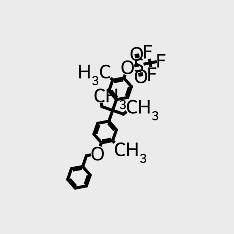 CCC(CC)(c1ccc(OCc2ccccc2)c(C)c1)c1ccc(OS(=O)(=O)C(F)(F)F)c(C)c1